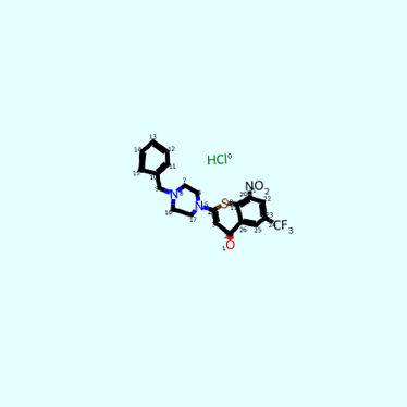 Cl.O=c1cc(N2CCN(Cc3ccccc3)CC2)sc2c([N+](=O)[O-])cc(C(F)(F)F)cc12